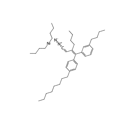 CCCCCCCCc1ccc(C(=C(C=C=[N+]=[N-])CCCC)c2cccc(CCCC)c2)cc1.CCC[CH2][Ni][CH2]CCC